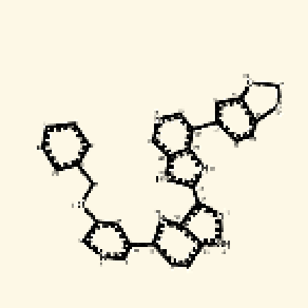 c1ccc(COc2cncc(-c3ccc4[nH]nc(-c5nc6c(-c7ccc8c(c7)OCO8)cncc6[nH]5)c4n3)c2)cc1